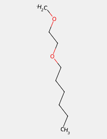 [CH2]OCCOCCCCCC